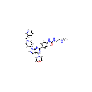 CNCCNC(=O)Nc1ccc(-c2nc(N3CCOCC3)c3cnn(C4CCN(Cc5cccnc5)CC4)c3n2)cc1